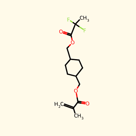 C=C(C)C(=O)OCC1CCC(COC(=O)C(C)(F)F)CC1